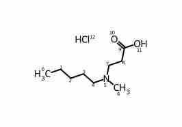 CCCCCN(C)CCC(=O)O.Cl